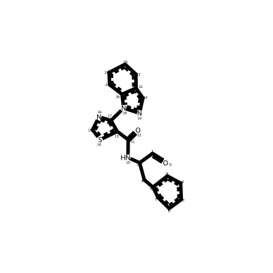 O=CC(Cc1ccccc1)NC(=O)c1scnc1-n1ncc2ccccc21